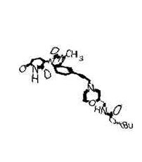 Cn1c(=O)n(C2CCC(=O)NC2=O)c2ccc(C#CCN3CCO[C@@H](CNC(=O)OC(C)(C)C)C3)cc21